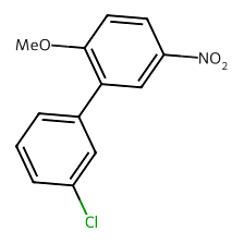 COc1ccc([N+](=O)[O-])cc1-c1cccc(Cl)c1